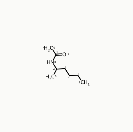 [CH2]C(=O)NC(C)CCCC